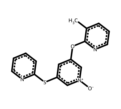 Cc1cccnc1Oc1cc(Sc2ccccn2)c[n+]([O-])c1